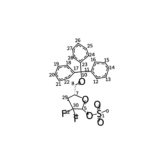 CS(=O)(=O)OC1O[C@@H](COC(c2ccccc2)(c2ccccc2)c2ccccc2)[CH]C1(F)F